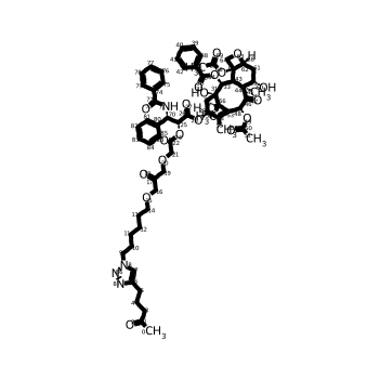 CC(=O)CCCc1cn(CCCCCCOCC(=O)COCC(=O)O[C@@H](C(=O)O[C@H]2C[C@@]3(O)[C@@H](OC(=O)c4ccccc4)C4[C@](C)(C(=O)[C@H](OC(C)=O)C(=C2C)C3(C)C)[C@@H](O)C[C@H]2OC[C@@]42OC(C)=O)[C@@H](NC(=O)c2ccccc2)c2ccccc2)nn1